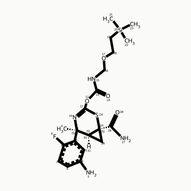 C[C@]1(c2cc(N)ccc2F)N=C(OC(=O)NCOCC[Si](C)(C)C)S[C@@]2(C(N)=O)C[C@H]21